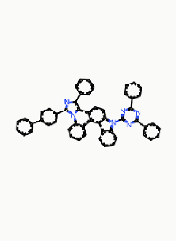 c1ccc(-c2ccc(-c3nc(-c4ccccc4)c4c5ccc6c(c7ccccc7n6-c6nc(-c7ccccc7)nc(-c7ccccc7)n6)c5c5ccccc5n34)cc2)cc1